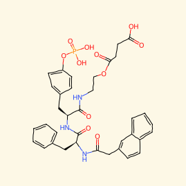 O=C(O)CCC(=O)OCCNC(=O)[C@H](Cc1ccc(OP(=O)(O)O)cc1)NC(=O)[C@H](Cc1ccccc1)NC(=O)Cc1ccc2ccccc2c1